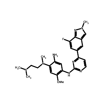 COc1cc(N(C)CCN(C)C)c(N)cc1Nc1nccc(-c2cc(F)c3nn(C)cc3c2)n1